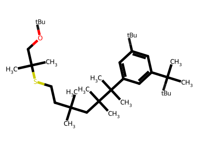 CC(C)(CCSC(C)(C)COC(C)(C)C)CC(C)(C)C(C)(C)c1cc(C(C)(C)C)cc(C(C)(C)C(C)(C)C)c1